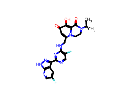 CC(C)N1CCn2c(CNc3nc(-c4n[nH]c5ncc(F)cc45)ncc3F)cc(=O)c(O)c2C1=O